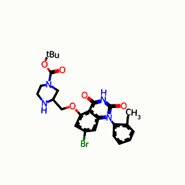 Cc1ccccc1-n1c(=O)[nH]c(=O)c2c(OCC3CN(C(=O)OC(C)(C)C)CCN3)cc(Br)cc21